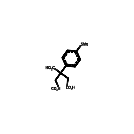 CSc1ccc(C(CC(=O)O)(CC(=O)O)C(=O)O)cc1